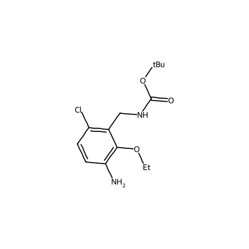 CCOc1c(N)ccc(Cl)c1CNC(=O)OC(C)(C)C